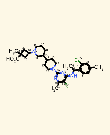 Cc1ccc(C(C)Nc2nc(N3CCC(C4CCCN(C5CC(C)(C(=O)O)C5)C4)CC3)nc(C)c2Cl)c(Cl)c1